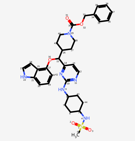 CS(=O)(=O)NC1CCC(Nc2nccc(C(Oc3cccc4[nH]ccc34)C3CCN(C(=O)OCc4ccccc4)CC3)n2)CC1